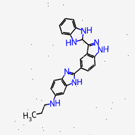 CCCNc1ccc2nc(-c3ccc4[nH]nc(C5Nc6ccccc6N5)c4c3)[nH]c2c1